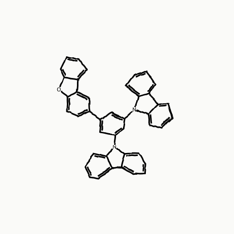 c1ccc2c(c1)oc1ccc(-c3cc(-n4c5ccccc5c5ccccc54)cc(-n4c5ccccc5c5ccccc54)c3)cc12